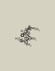 CCCCS(=O)(=O)OCC(C)(O)C(=O)C(Cc1ccccc1)NC(=O)C(COC)NC(=O)C(COC)NC(=O)c1cnc(C)s1